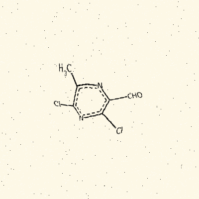 Cc1nc(C=O)c(Cl)nc1Cl